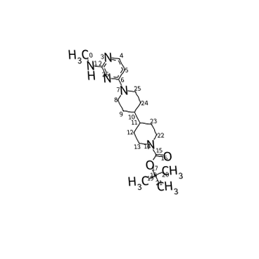 CNc1nccc(N2CCC(C3CCN(C(=O)OC(C)(C)C)CC3)CC2)n1